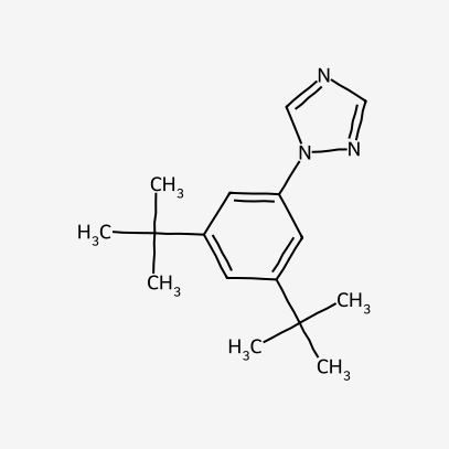 CC(C)(C)c1cc(-n2cncn2)cc(C(C)(C)C)c1